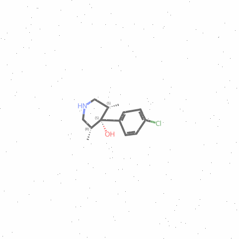 C[C@@H]1CNC[C@H](C)[C@@]1(O)c1ccc(Cl)cc1